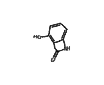 O=C1Nc2cccc(O)c21